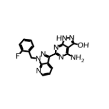 Nc1nc(-c2nn(Cc3ccccc3F)c3ncccc23)nc2[nH]nc(O)c12